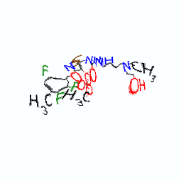 CCN(CCO)CCCCNC(=O)Nc1snc(OCc2c(F)cc(C)c(F)c2F)c1OC(=O)OC